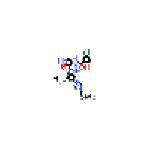 CSCCN1CCN(c2cc(C)c3nc(-c4c(NCC(O)c5cccc(Cl)c5)cc[nH]c4=O)[nH]c3c2)CC1